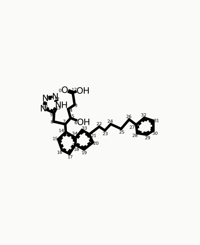 O=C(O)CCC(O)C(Cc1nnn[nH]1)c1cccc2ccc(CCCCCc3ccccc3)cc12